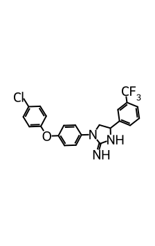 N=C1NC(c2cccc(C(F)(F)F)c2)CN1c1ccc(Oc2ccc(Cl)cc2)cc1